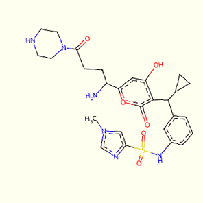 Cn1cnc(S(=O)(=O)Nc2cccc(C(c3c(O)cc(C(N)CCC(=O)N4CCNCC4)oc3=O)C3CC3)c2)c1